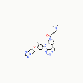 Cc1cc(Nc2ncnn3ccc(C4CCN(C(=O)C#CCN(C)C)CC4)c23)ccc1Oc1ccn2ncnc2c1